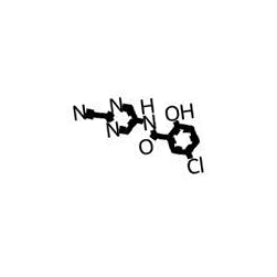 N#Cc1ncc(NC(=O)c2cc(Cl)ccc2O)cn1